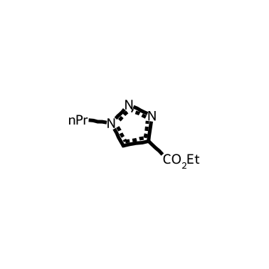 CCCn1cc(C(=O)OCC)nn1